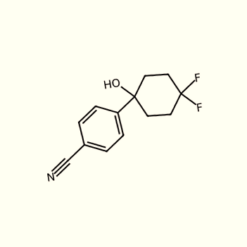 N#Cc1ccc(C2(O)CCC(F)(F)CC2)cc1